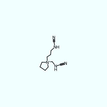 N#CNCCC[N+]1(CNC#N)CCCC1